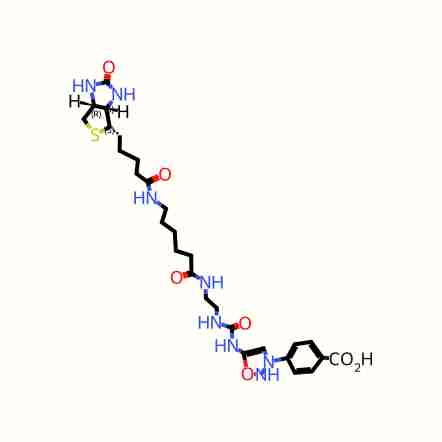 O=C(CCCC[C@@H]1SC[C@@H]2NC(=O)N[C@@H]21)NCCCCCC(=O)NCCNC(=O)NC1=CN(c2ccc(C(=O)O)cc2)NO1